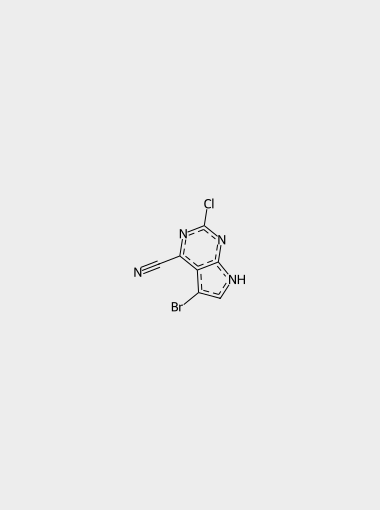 N#Cc1nc(Cl)nc2[nH]cc(Br)c12